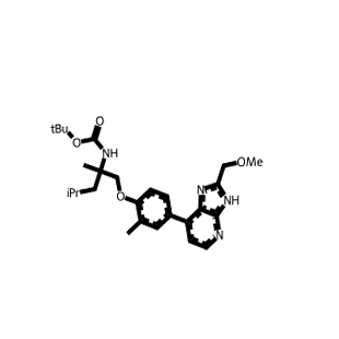 COCc1nc2c(-c3ccc(OCC(C)(CC(C)C)NC(=O)OC(C)(C)C)c(C)c3)ccnc2[nH]1